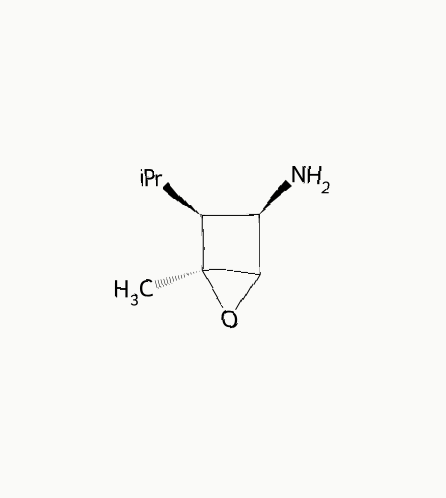 CC(C)[C@H]1[C@@H](N)C2O[C@]21C